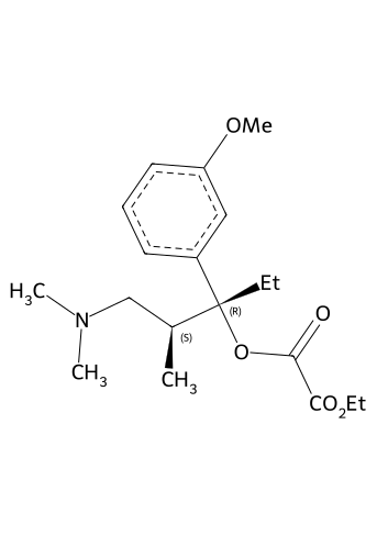 CCOC(=O)C(=O)O[C@@](CC)(c1cccc(OC)c1)[C@@H](C)CN(C)C